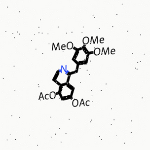 COc1cc(Cc2nccc3c(OC(C)=O)cc(OC(C)=O)cc23)cc(OC)c1OC